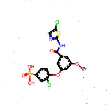 CC(C)Oc1cc(Oc2ccc(P(=O)(O)O)cc2Cl)cc(C(=O)Nc2ncc(Cl)s2)c1